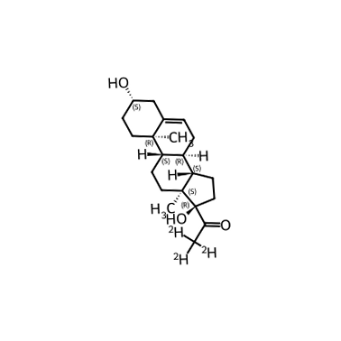 [2H]C([2H])([2H])C(=O)[C@@]1(O)CC[C@H]2[C@@H]3CC=C4C[C@@H](O)CC[C@]4(C)[C@H]3CC[C@@]21C